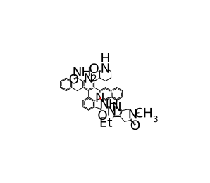 CCc1nn(-c2cccc3cc(-c4c(C5CCCNC5=O)nc(C(N)=O)c(Cc5ccccc5)c4-c4cccc5c4CNC5=O)ncc23)c2c1CC(=O)N(C)C2